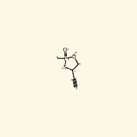 C#CC1COP(C)(=O)S1